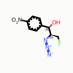 [N-]=[N+]=N[C@H](CF)[C@H](O)c1ccc([N+](=O)[O-])cc1